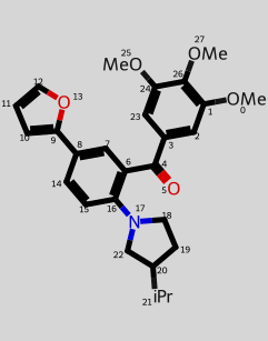 COc1cc(C(=O)c2cc(-c3ccco3)ccc2N2CCC(C(C)C)C2)cc(OC)c1OC